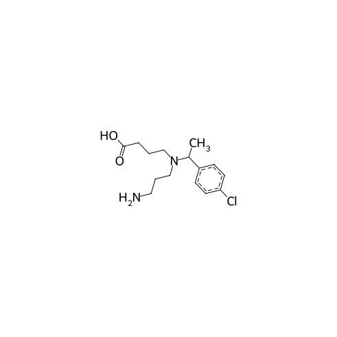 CC(c1ccc(Cl)cc1)N(CCCN)CCCC(=O)O